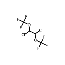 FC(F)(F)OC(Cl)C(Cl)OC(F)(F)F